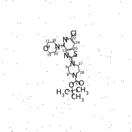 CC(C)(C)OC(=O)N1CCN(c2nc3c(N4CCOCC4)nc(Cl)cc3s2)CC1